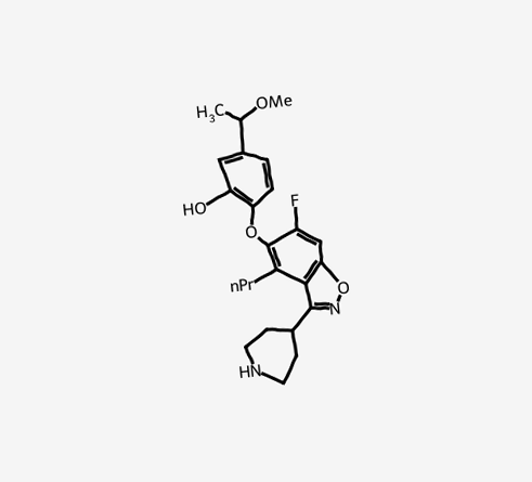 CCCc1c(Oc2ccc(C(C)OC)cc2O)c(F)cc2onc(C3CCNCC3)c12